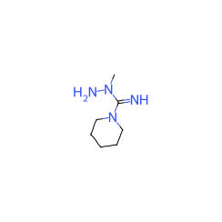 CN(N)C(=N)N1CCCCC1